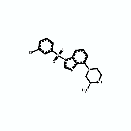 C[C@H]1CN(c2cccc3c2ncn3S(=O)(=O)c2cccc(Cl)c2)CCN1